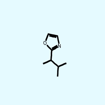 CC(C)C(C)c1ncco1